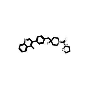 Cc1c(-c2ccc(CC3(F)CCN(C(=O)[C@H]4CCCO4)CC3)cc2)cnc2ccccc12